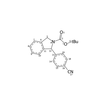 CC(C)(C)OC(=O)N1Cc2ccccc2C1c1ccc(C#N)cc1